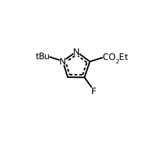 CCOC(=O)c1nn(C(C)(C)C)cc1F